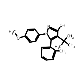 COc1ccc(-n2nc(O)c(C(C)(C)C)c2-c2ccccc2C)cc1